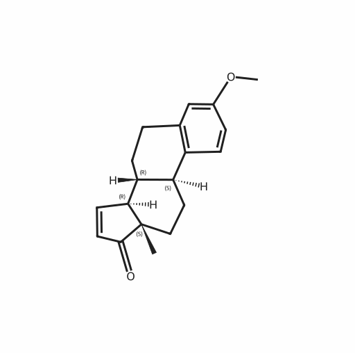 COc1ccc2c(c1)CC[C@@H]1[C@@H]2CC[C@]2(C)C(=O)C=C[C@@H]12